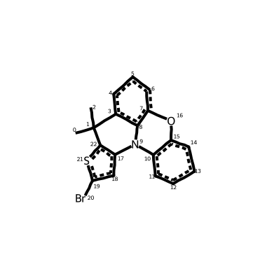 CC1(C)c2cccc3c2N(c2ccccc2O3)c2cc(Br)sc21